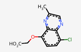 Cc1cnc2c(Cl)ccc(OCC(=O)O)c2n1